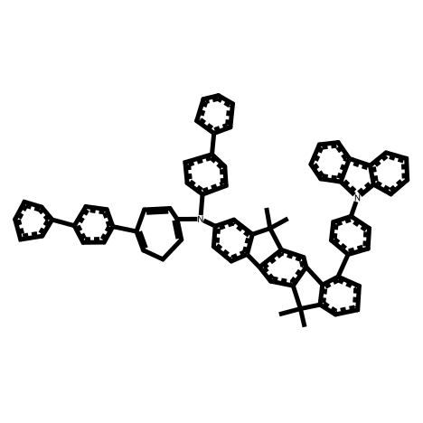 CC1(C)c2cc(N(C3=CCC=C(c4ccc(-c5ccccc5)cc4)C=C3)c3ccc(-c4ccccc4)cc3)ccc2-c2cc3c(cc21)-c1c(-c2ccc(-n4c5ccccc5c5ccccc54)cc2)cccc1C3(C)C